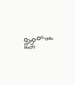 CCCCOCCOc1ccc(-c2ccc3c(c2)C=C(C(=O)OC)CCN3Cc2ccccc2OCC)cc1